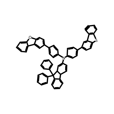 c1ccc2sc3ccc(-c4ccc(N(C5=CC6C(C=C5)c5ccccc5C6(c5ccccc5)c5ccccc5)c5ccc(-c6ccc7oc8ccccc8c7c6)cc5)cc4)cc3c2c#1